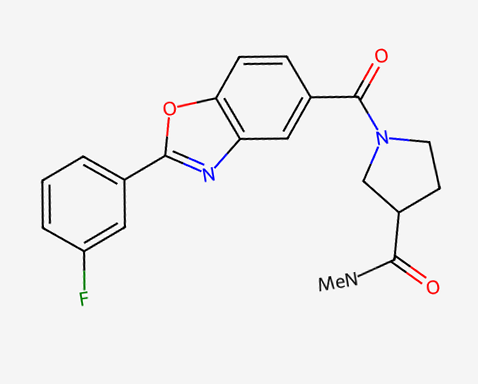 CNC(=O)C1CCN(C(=O)c2ccc3oc(-c4cccc(F)c4)nc3c2)C1